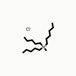 CCCCCC[N+](C)(CCCCC)CCCCC.[Cl-]